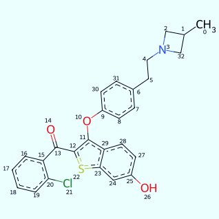 CC1CN(CCc2ccc(Oc3c(C(=O)c4ccccc4Cl)sc4cc(O)ccc34)cc2)C1